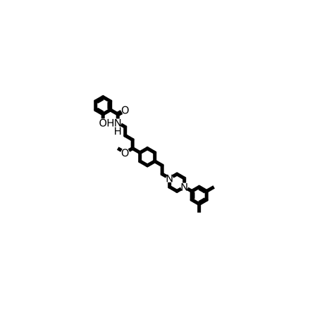 COC(CCCNC(=O)c1ccccc1O)C1CCC(CCN2CCN(c3cc(C)cc(C)c3)CC2)CC1